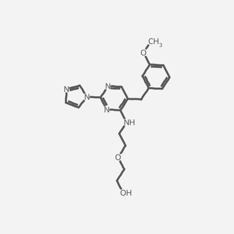 COc1cccc(Cc2cnc(-n3ccnc3)nc2NCCOCCO)c1